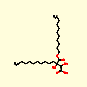 CCCCCCCCCCOC(=O)C(O)(CCCCCCCCCC)C(O)C(=O)O